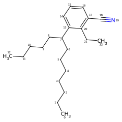 CCCCCCCC(CCCCC)c1cccc(C#N)c1CC